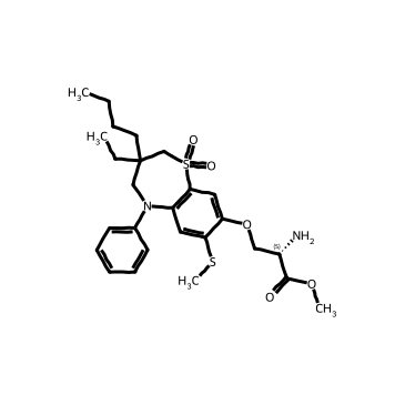 CCCCC1(CC)CN(c2ccccc2)c2cc(SC)c(OC[C@H](N)C(=O)OC)cc2S(=O)(=O)C1